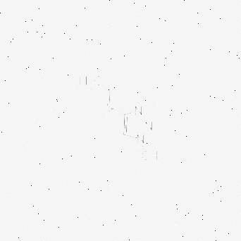 [CH2]CSc1cn(C)nn1